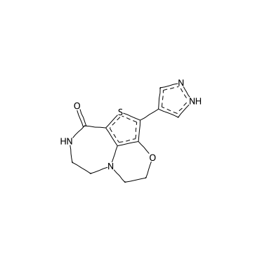 O=C1NCCN2CCOc3c(-c4cn[nH]c4)sc1c32